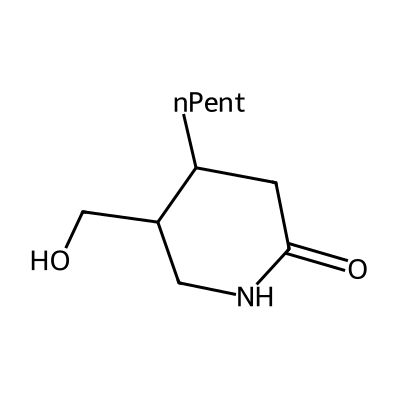 CCCCCC1CC(=O)NCC1CO